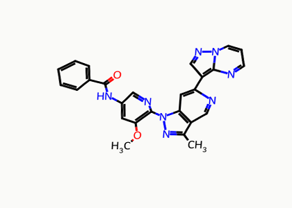 COc1cc(NC(=O)c2ccccc2)cnc1-n1nc(C)c2cnc(-c3cnn4cccnc34)cc21